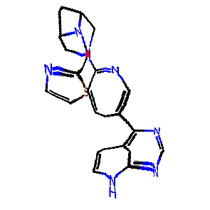 c1csc(CN2C3CC2CN(c2ccc(-c4ncnc5[nH]ccc45)cn2)C3)n1